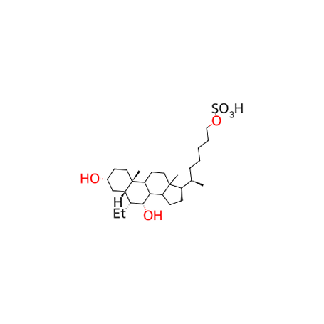 CC[C@H]1[C@@H](O)C2C3CC[C@H]([C@H](C)CCCCCOS(=O)(=O)O)C3(C)CCC2[C@@]2(C)CC[C@@H](O)C[C@@H]12